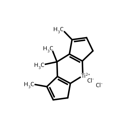 CC1=CC[C]2=C1C(C)(C)C1=[C](CC=C1C)[Ti+2]2.[Cl-].[Cl-]